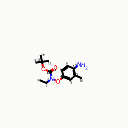 CCN(Oc1ccc(N)c(C)c1)C(=O)OC(C)(C)C